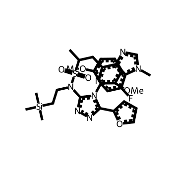 COc1cccc(OC)c1-n1c(-c2ccco2)nnc1N(CC[Si](C)(C)C)S(=O)(=O)C(C)Cc1ncc(F)c2c1ncn2C